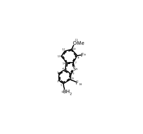 Bc1ccc2c(sc3c(F)c(OC)ccc32)c1F